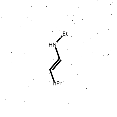 [CH2]CCC=CNCC